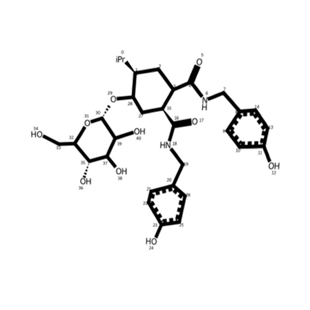 CC(C)[C@H]1CC(C(=O)NCc2ccc(O)cc2)[C@@H](C(=O)NCc2ccc(O)cc2)CC1O[C@H]1OC(CO)[C@@H](O)C(O)C1O